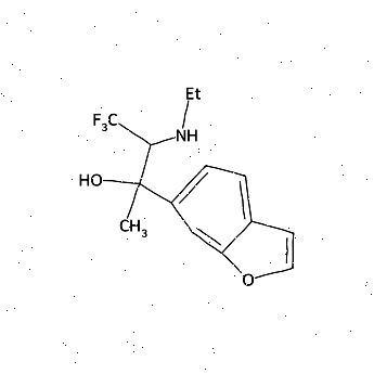 CCNC(C(F)(F)F)C(C)(O)c1ccc2ccoc2c1